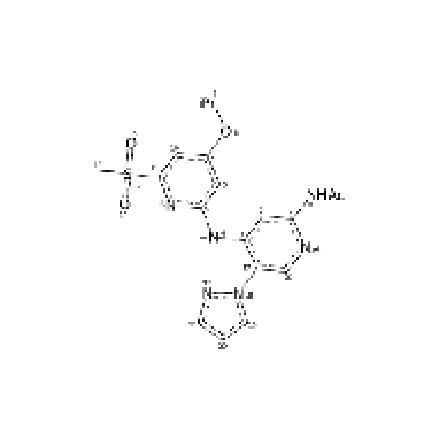 CC(=O)Nc1cc(Nc2cc(OC(C)C)cc(S(C)(=O)=O)n2)c(-n2cccn2)cn1